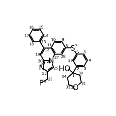 OC1(c2cccc(Sc3ccc4c(-c5ccccc5)cc5nc(CF)cn5c4c3)c2)CCOCC1